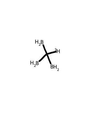 [3H]C(B)(B)B